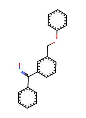 ON=C(c1ccccc1)c1cccc(COc2[c]cccc2)c1